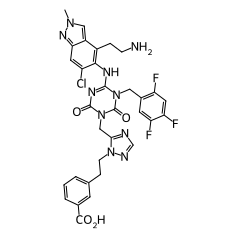 Cn1cc2c(CCN)c(Nc3nc(=O)n(Cc4ncnn4CCc4cccc(C(=O)O)c4)c(=O)n3Cc3cc(F)c(F)cc3F)c(Cl)cc2n1